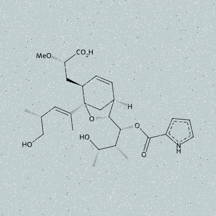 CO[C@@H](C[C@H]1C=C[C@@H]2C[C@@]1(/C(C)=C/[C@@H](C)CO)O[C@H]2[C@H](OC(=O)c1ccc[nH]1)[C@H](C)[C@H](C)O)C(=O)O